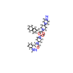 CNc1ccccc1CCN(C=O)C1CCN(C(=O)O[C@H](Cc2ccc3c(c2)CCCC3)C(=O)N2CCC(N3CCNCC3)CC2)CC1